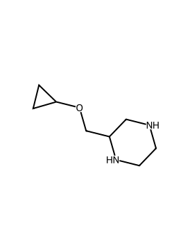 C1CNC(COC2CC2)CN1